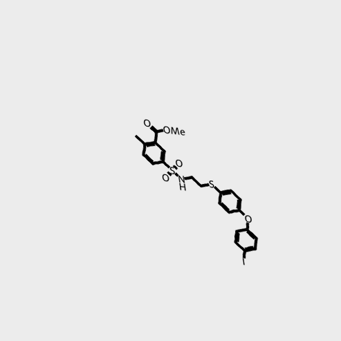 COC(=O)c1cc(S(=O)(=O)NCCSc2ccc(Oc3ccc(I)cc3)cc2)ccc1C